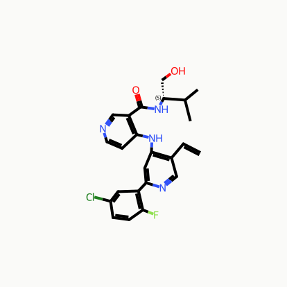 C=Cc1cnc(-c2cc(Cl)ccc2F)cc1Nc1ccncc1C(=O)N[C@H](CO)C(C)C